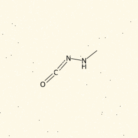 CNN=C=O